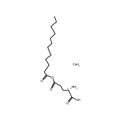 CCCCCCCCCCCC(=O)OC(=O)CC[C@H](N)C(=O)O.[CaH2]